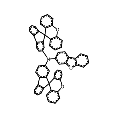 c1ccc2c(c1)Oc1ccccc1C21c2ccccc2-c2ccc(N(c3ccc4c(c3)C3(c5ccccc5Oc5ccccc53)c3ccccc3-4)c3ccc4c(c3)oc3ccccc34)cc21